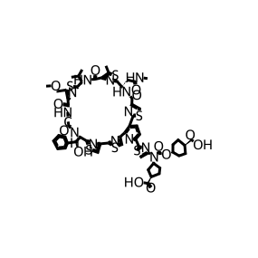 CNC(=O)C[C@@H]1NC(=O)c2csc(n2)-c2ccc(-c3nc(N(C(=O)O[C@H]4CC[C@H](C(=O)O)CC4)C4CC[C@@H](C(=O)O)C4)cs3)nc2-c2csc(n2)-c2csc(n2)[C@H]([C@@H](O)c2ccccc2)NC(=O)CNC(=O)c2nc(sc2COC)C(C(C)C)NC(=O)c2nc1sc2C